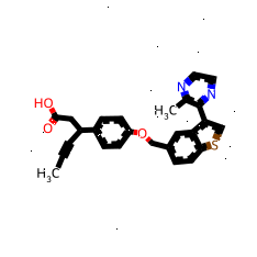 CC#CC(CC(=O)O)c1ccc(OCc2ccc3scc(-c4nccnc4C)c3c2)cc1